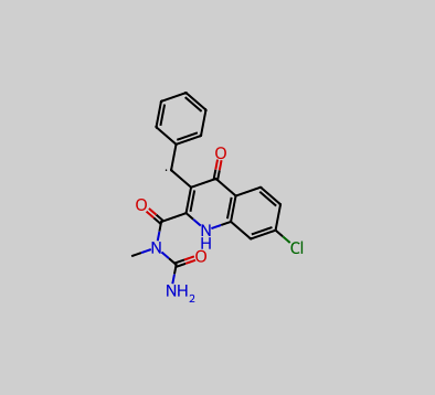 CN(C(N)=O)C(=O)c1[nH]c2cc(Cl)ccc2c(=O)c1[CH]c1ccccc1